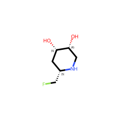 O[C@@H]1CN[C@H](CF)C[C@@H]1O